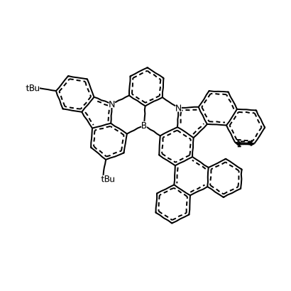 CC(C)(C)c1ccc2c(c1)c1cc(C(C)(C)C)cc3c1n2-c1cccc2c1B3c1cc3c4ccccc4c4ccccc4c3c3c4c5c(ccc6ccccc65)ccc4n-2c13